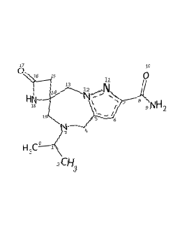 CC(C)N1Cc2cc(C(N)=O)nn2CC2(CC(=O)N2)C1